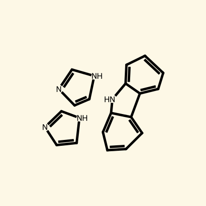 c1c[nH]cn1.c1c[nH]cn1.c1ccc2c(c1)[nH]c1ccccc12